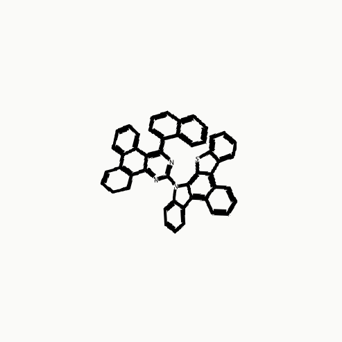 C1=Cc2c(c3nc(-n4c5ccccc5c5c6ccccc6c6c7ccccc7sc6c54)nc(-c4cccc5ccccc45)c3c3ccccc23)CC1